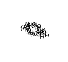 Nc1nc2c(ncn2[C@H]2CC[C@@H](COP(=O)(O)CP(=O)(O)O[PH](=O)O)O2)c(=O)[nH]1